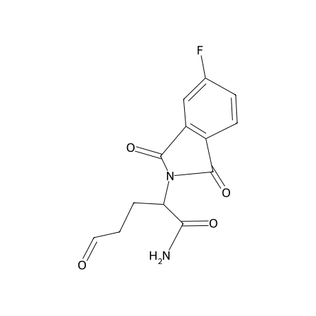 NC(=O)C(CCC=O)N1C(=O)c2ccc(F)cc2C1=O